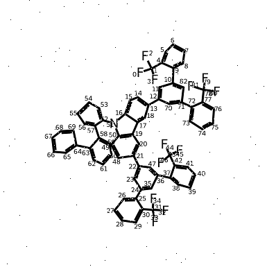 FC(F)(F)c1ccccc1-c1cc(-c2ccc3c(c2)c2cc(-c4cc(-c5ccccc5C(F)(F)F)cc(-c5ccccc5C(F)(F)F)c4)ccc2n3-c2ccccc2-c2ccccc2-c2ccccc2)cc(-c2ccccc2C(F)(F)F)c1